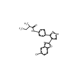 CC(CC(F)(F)F)C(=O)Nc1ccc(-c2n[nH]cc2-c2nc3cc(Cl)ccc3o2)cc1